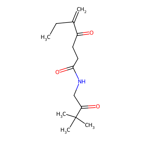 C=C(CC)C(=O)CCC(=O)NCC(=O)C(C)(C)C